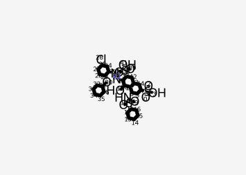 O=S(=O)(O)c1cc(NS(=O)(=O)c2ccccc2)c2c(O)c(/N=N/c3cc(Cl)ccc3Oc3ccccc3)c(S(=O)(=O)O)cc2c1